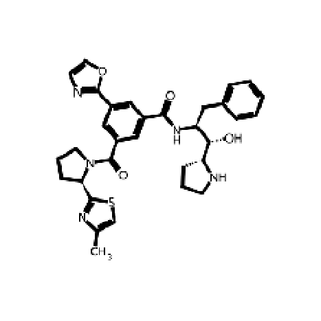 Cc1csc([C@H]2CCCN2C(=O)c2cc(C(=O)N[C@@H](Cc3ccccc3)[C@H](O)[C@H]3CCCN3)cc(-c3ncco3)c2)n1